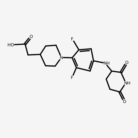 O=C(O)CC1CCN(c2c(F)cc(NC3CCC(=O)NC3=O)cc2F)CC1